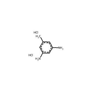 Cc1cc(N)cc(N)c1.Cl.Cl